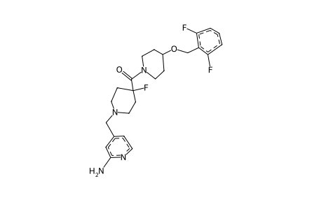 Nc1cc(CN2CCC(F)(C(=O)N3CCC(OCc4c(F)cccc4F)CC3)CC2)ccn1